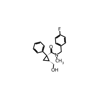 CN(Cc1ccc(F)cc1)C(=O)[C@@]1(c2ccccc2)C[C@H]1CO